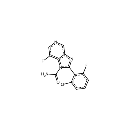 NC(=O)n1c(-c2c(F)cccc2Cl)nc2[c]ncc(F)c21